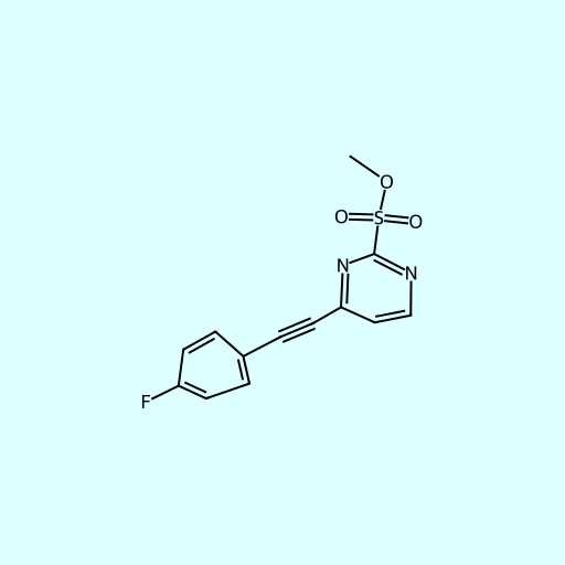 COS(=O)(=O)c1nccc(C#Cc2ccc(F)cc2)n1